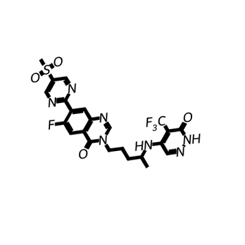 CC(CCCn1cnc2cc(-c3ncc(S(C)(=O)=O)cn3)c(F)cc2c1=O)Nc1cn[nH]c(=O)c1C(F)(F)F